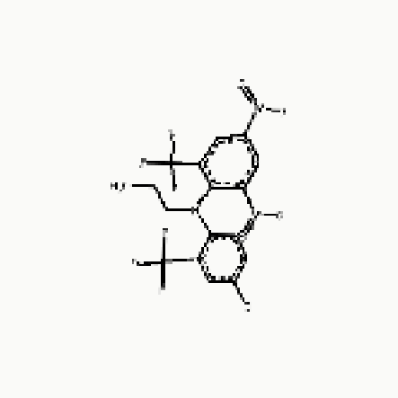 CCCN(c1c(Br)cc(Cl)cc1C(F)(F)F)c1c([N+](=O)[O-])cc([N+](=O)[O-])cc1C(F)(F)F